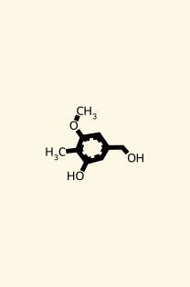 COc1cc(CO)cc(O)c1C